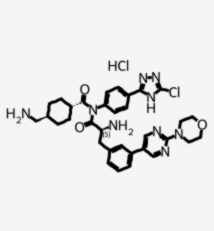 Cl.NC[C@H]1CC[C@H](C(=O)N(C(=O)[C@@H](N)Cc2cccc(-c3cnc(N4CCOCC4)nc3)c2)c2ccc(-c3nnc(Cl)[nH]3)cc2)CC1